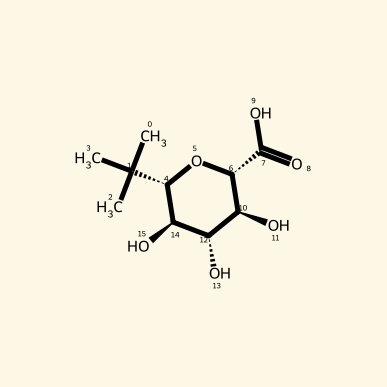 CC(C)(C)[C@@H]1O[C@H](C(=O)O)[C@@H](O)[C@H](O)[C@H]1O